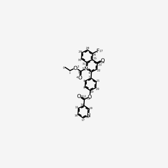 CCOC(=O)n1c(-c2ccc(OC(=O)c3cccnc3)cc2)cc(=O)c2c(F)cccc21